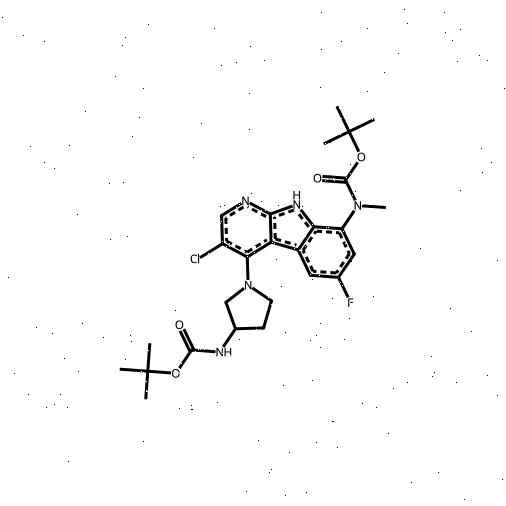 CN(C(=O)OC(C)(C)C)c1cc(F)cc2c1[nH]c1ncc(Cl)c(N3CCC(NC(=O)OC(C)(C)C)C3)c12